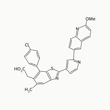 COc1ccc2cc(-c3cc(-c4nc5cc(C)c(CC(=O)O)c(-c6ccc(Cl)cc6)c5s4)ccn3)ccc2n1